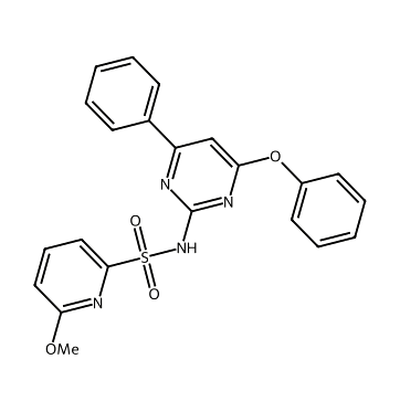 COc1cccc(S(=O)(=O)Nc2nc(Oc3ccccc3)cc(-c3ccccc3)n2)n1